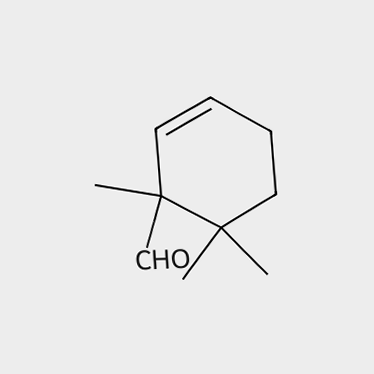 CC1(C=O)C=CCCC1(C)C